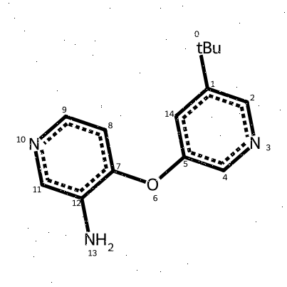 CC(C)(C)c1cncc(Oc2ccncc2N)c1